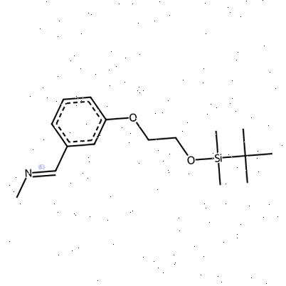 C/N=C/c1cccc(OCCO[Si](C)(C)C(C)(C)C)c1